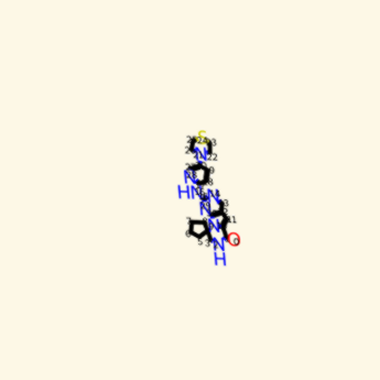 O=C1NCC2(CCCC2)n2c1cc1cnc(Nc3ccc(N4CCSCC4)cn3)nc12